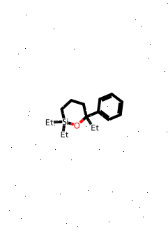 CCC1(c2ccccc2)CCC[Si](CC)(CC)O1